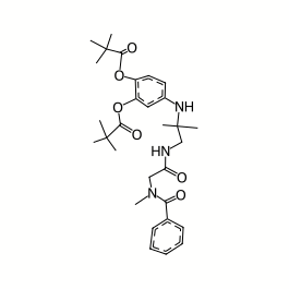 CN(CC(=O)NCC(C)(C)Nc1ccc(OC(=O)C(C)(C)C)c(OC(=O)C(C)(C)C)c1)C(=O)c1ccccc1